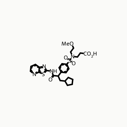 COCCN(CCC(=O)O)S(=O)(=O)c1ccc(C(CC2CCCC2)C(=O)Nc2nc3cccnc3s2)cc1